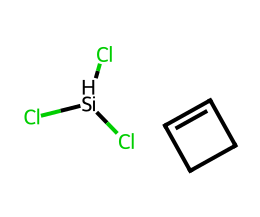 C1=CCC1.Cl[SiH](Cl)Cl